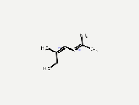 CC/C(C)=C\N=C(\C)N